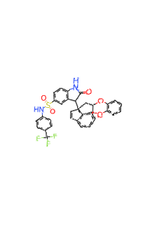 O=C1Nc2ccc(S(=O)(=O)Nc3ccc(C(F)(F)F)cc3)cc2C1C1(CC2COc3ccccc3O2)C=Cc2ccccc21